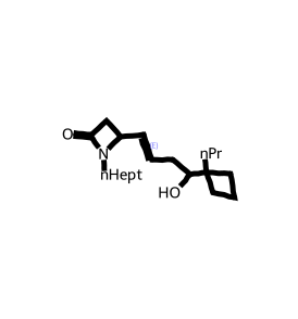 CCCCCCCN1C(=O)CC1/C=C/CC(O)C1(CCC)CCC1